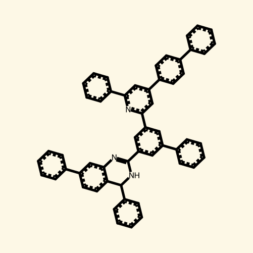 c1ccc(-c2ccc(-c3cc(-c4ccccc4)nc(-c4cc(C5=Nc6cc(-c7ccccc7)ccc6C(c6ccccc6)N5)cc(-c5ccccc5)c4)c3)cc2)cc1